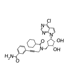 NC(=O)c1cccc(C#CCN(C[C@H]2C[C@@H](n3ccc4c(Cl)ncnc43)[C@H](O)[C@@H]2O)C(=O)C2CCCCC2)c1